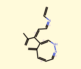 C=C\N=C/C=C(C(=C)C)\C1=C\N/N=C\C=C/C1=C